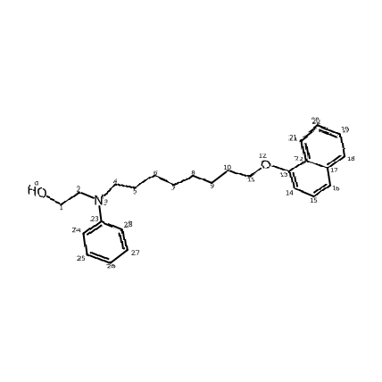 OCCN(CCCCCCCCOc1cccc2ccccc12)c1ccccc1